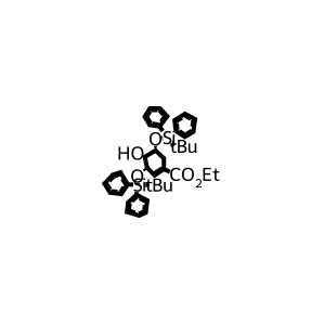 CCOC(=O)C1=C[C@@H](O[Si](c2ccccc2)(c2ccccc2)C(C)(C)C)[C@@H](O)[C@@H](O[Si](c2ccccc2)(c2ccccc2)C(C)(C)C)C1